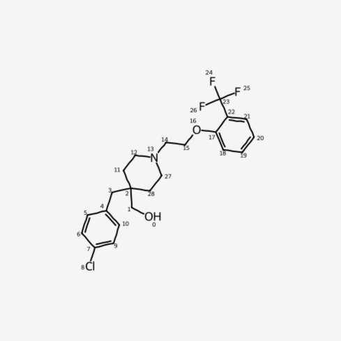 OCC1(Cc2ccc(Cl)cc2)CCN(CCOc2ccccc2C(F)(F)F)CC1